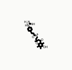 Cc1c(C)c2c(c(C)c1O)C(=O)CC(C)(CCN(C)C(=O)C=Cc1ccc(NC(=N)N)cc1)O2